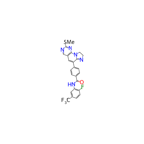 CSc1ncc2c(n1)N1CCN=C1C(c1ccc(C(=O)Nc3cc(C(F)(F)F)ccc3F)cc1)=C2